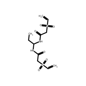 C=CS(=O)(=O)CC(=O)NC(CC)NC(=O)CS(=O)(=O)C=C